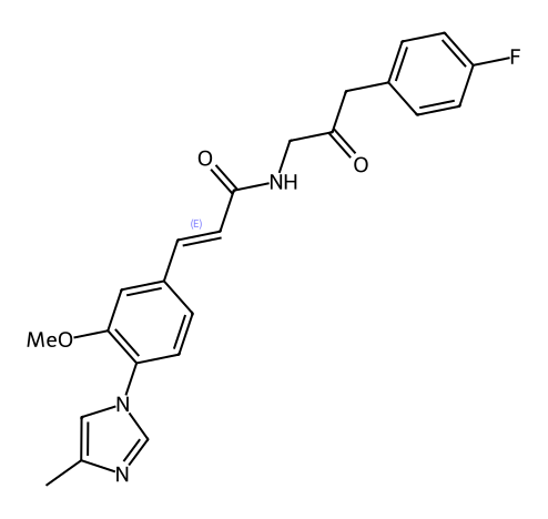 COc1cc(/C=C/C(=O)NCC(=O)Cc2ccc(F)cc2)ccc1-n1cnc(C)c1